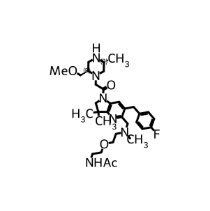 COC[C@H]1CN[C@H](C)CN1CC(=O)N1CC(C)(C)c2nc(CN(C)CCOCCNC(C)=O)c(Cc3ccc(F)cc3)cc21